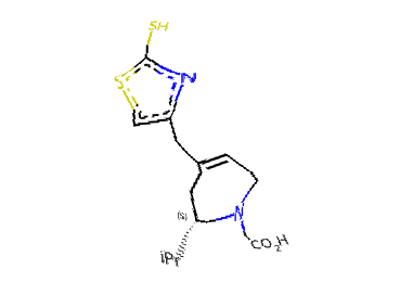 CC(C)[C@@H]1CC(c2csc(S)n2)=CCN1C(=O)O